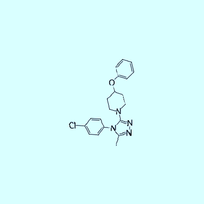 Cc1nnc(N2CCC(Oc3ccccc3)CC2)n1-c1ccc(Cl)cc1